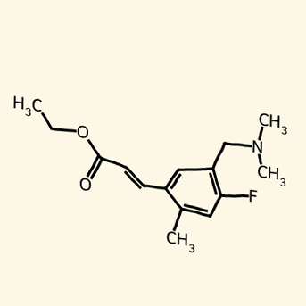 CCOC(=O)/C=C/c1cc(CN(C)C)c(F)cc1C